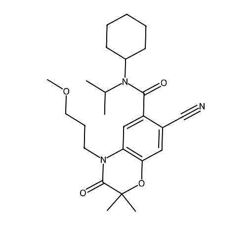 COCCCN1C(=O)C(C)(C)Oc2cc(C#N)c(C(=O)N(C(C)C)C3CCCCC3)cc21